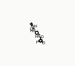 CC1(NC(=O)CNC2CCC(CNC(=O)c3cc(F)cc(Cl)c3)CC2)CCC1